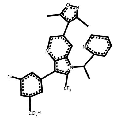 Cc1noc(C)c1-c1cnc2c(-c3cc(Cl)cc(C(=O)O)c3)c(C(F)(F)F)n(C(C)c3ccccn3)c2c1